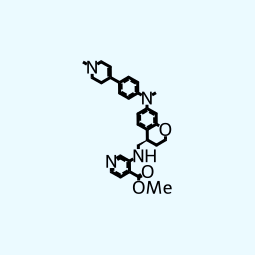 COC(=O)c1ccncc1NC[C@@H]1CCOc2cc(N(C)c3ccc(C4=CCN(C)CC4)cc3)ccc21